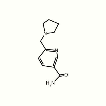 NC(=O)c1ccc(CN2CCCC2)nc1